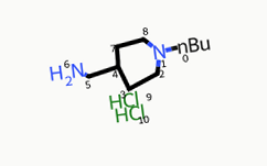 CCCCN1CCC(CN)CC1.Cl.Cl